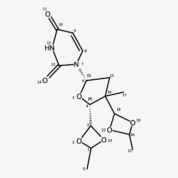 CC1OC([C@@H]2O[C@H](n3ccc(=O)[nH]c3=O)CC2(C)C2OC(C)O2)O1